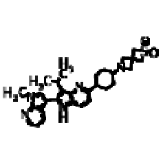 CC(C)c1c(-c2cn(C)c3ncccc23)[nH]c2ccc(C3CCC(N4CC5(C4)CS(=O)(=O)C5)CC3)nc12